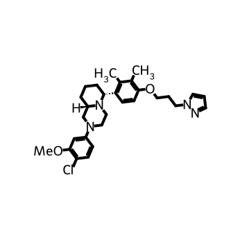 COc1cc(N2CCN3[C@@H](CCC[C@@H]3c3ccc(OCCCn4cccn4)c(C)c3C)C2)ccc1Cl